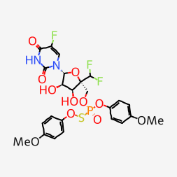 COc1ccc(OSP(=O)(OC[C@@]2(C(F)F)O[C@@H](n3cc(F)c(=O)[nH]c3=O)[C@H](O)[C@@H]2O)Oc2ccc(OC)cc2)cc1